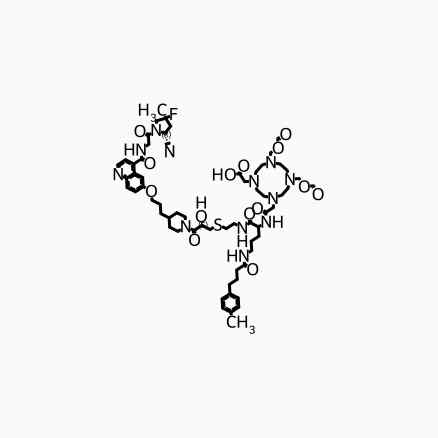 Cc1ccc(CCCC(=O)NCCCC(NC(=O)CN2CCN(COC=O)CCN(COC=O)CCN(CC(=O)O)CC2)C(=O)NCCSC[C@@H](O)C(=O)N2CCC(CCCOc3ccc4nccc(C(=O)NCC(=O)N5CC(C)(F)C[C@@H]5C#N)c4c3)CC2)cc1